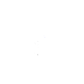 NCC(CCCc1ccc(OCc2ccccc2)cc1)C1CCCCC1